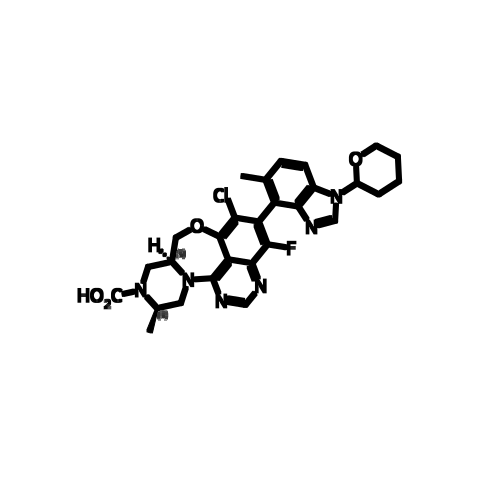 Cc1ccc2c(ncn2C2CCCCO2)c1-c1c(Cl)c2c3c(ncnc3c1F)N1C[C@@H](C)N(C(=O)O)C[C@H]1CO2